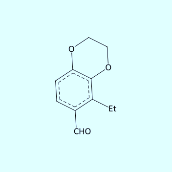 CCc1c(C=O)ccc2c1OCCO2